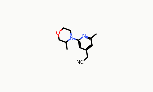 Cc1cc(CC#N)cc(N2CCOCC2C)n1